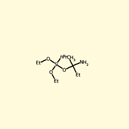 CCC[Si](OCC)(OCC)OC(C)(N)CC